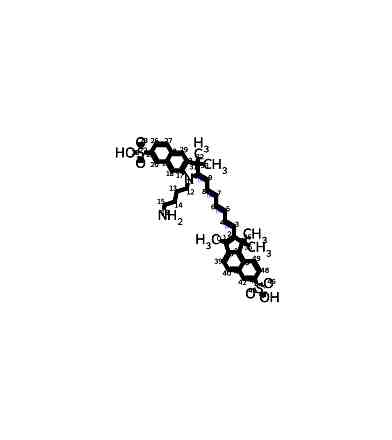 CC1=C(/C=C/C=C/C=C/C=C2\N(CCCCN)c3cc4cc(S(=O)(=O)O)ccc4cc3C2(C)C)C(C)(C)c2c1ccc1cc(S(=O)(=O)O)ccc21